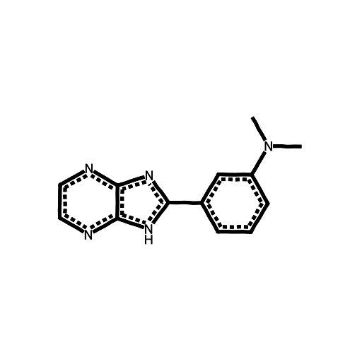 CN(C)c1cccc(-c2nc3nccnc3[nH]2)c1